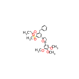 CCCOc1c(Cc2ccccc2)cc([C@@H]2CC[C@@H](c3cc(OC)c(OC)c(OC)c3)O2)cc1S(C)(=O)=O